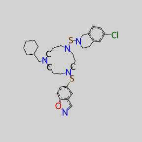 Clc1ccc2c(c1)CCN(SN1CCCN(CC3CCCCC3)CCCN(Sc3ccc4oncc4c3)CCC1)C2